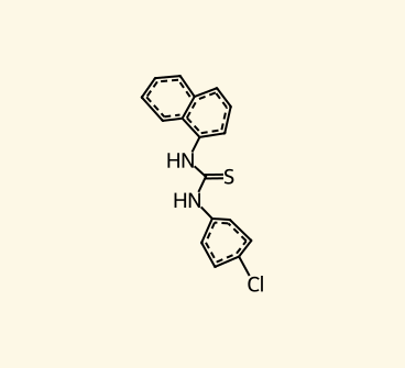 S=C(Nc1ccc(Cl)cc1)Nc1cccc2ccccc12